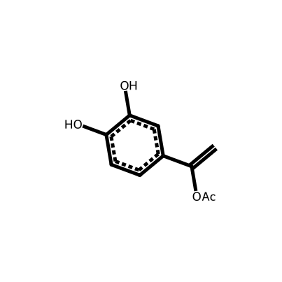 C=C(OC(C)=O)c1ccc(O)c(O)c1